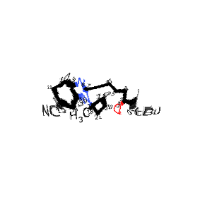 CC(C)(C)CC(=O)CCCc1nc2ccc(C#N)cc2n1C1(C)CCC1